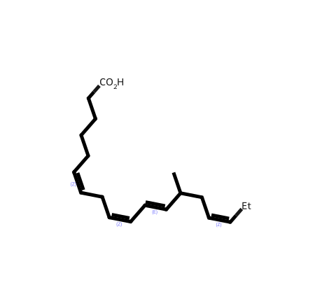 CC/C=C\CC(C)/C=C/C=C\C/C=C\CCCCC(=O)O